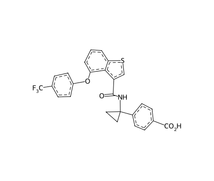 O=C(O)c1ccc(C2(NC(=O)c3csc4cccc(Oc5ccc(C(F)(F)F)cc5)c34)CC2)cc1